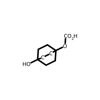 O=C(O)OC12CCC(O)(CC1)CC2